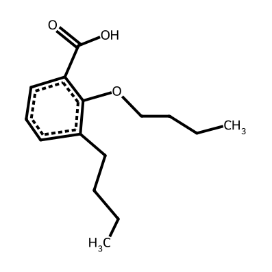 CCCCOc1c(CCCC)cccc1C(=O)O